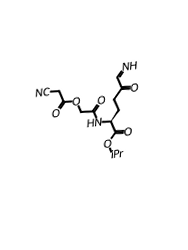 CC(C)OC(=O)[C@H](CCC(=O)C=N)NC(=O)COC(=O)CC#N